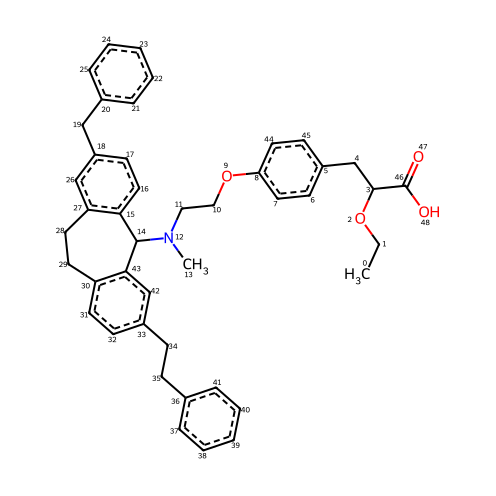 CCOC(Cc1ccc(OCCN(C)C2c3ccc(Cc4ccccc4)cc3CCc3ccc(CCc4ccccc4)cc32)cc1)C(=O)O